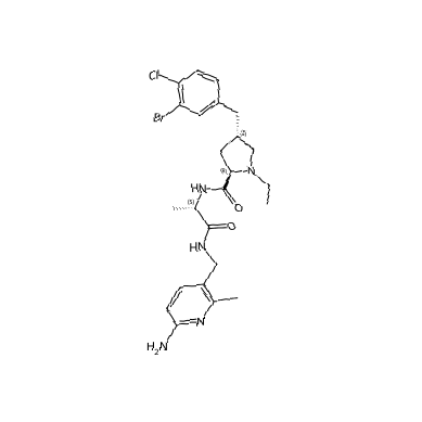 CCN1C[C@@H](Cc2ccc(Cl)c(Br)c2)C[C@@H]1C(=O)N[C@@H](C)C(=O)NCc1ccc(N)nc1C